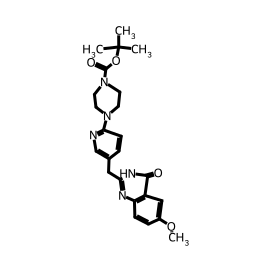 COc1ccc2nc(Cc3ccc(N4CCN(C(=O)OC(C)(C)C)CC4)nc3)[nH]c(=O)c2c1